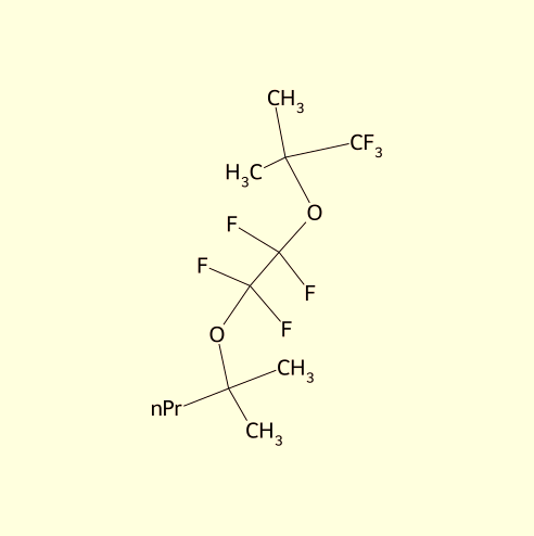 CCCC(C)(C)OC(F)(F)C(F)(F)OC(C)(C)C(F)(F)F